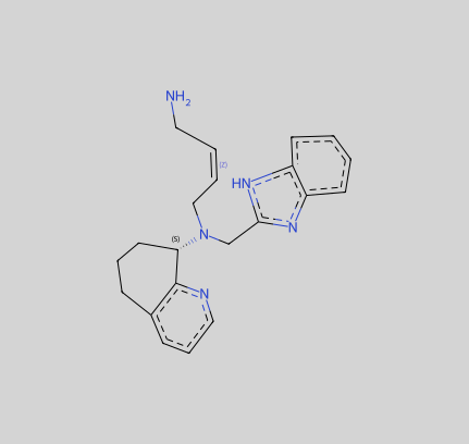 NC/C=C\CN(Cc1nc2ccccc2[nH]1)[C@H]1CCCc2cccnc21